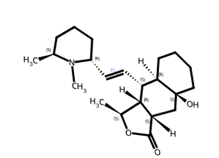 C[C@@H]1OC(=O)[C@H]2C[C@@]3(O)CCCC[C@@H]3[C@@H](/C=C/[C@H]3CCC[C@H](C)N3C)[C@@H]12